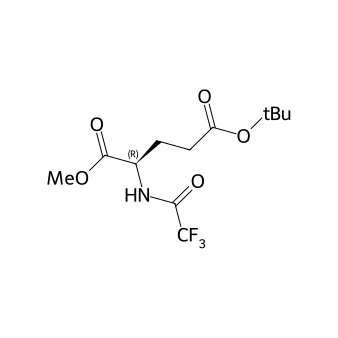 COC(=O)[C@@H](CCC(=O)OC(C)(C)C)NC(=O)C(F)(F)F